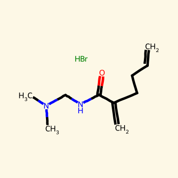 Br.C=CCCC(=C)C(=O)NCN(C)C